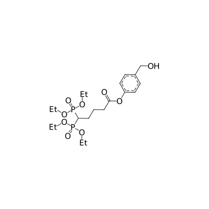 CCOP(=O)(OCC)C(CCCC(=O)Oc1ccc(CO)cc1)P(=O)(OCC)OCC